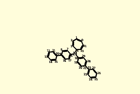 C1=CC=CC(N(c2ccc(-c3ccccc3)cc2)c2ccc(-c3ccccc3)cc2)C=C1